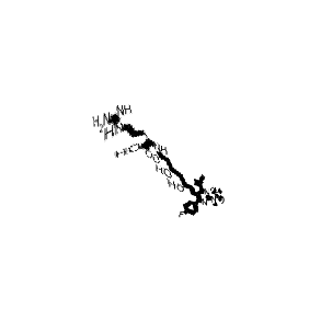 CC(C)c1nc(N(C)S(C)(=O)=O)nc(-c2ccc(F)cc2)c1/C=C/[C@H](O)C[C@@H](O)CC(=O)N[C@@H](CCCNC(=N)N)C(=O)O